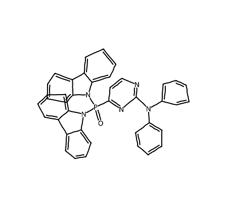 O=P(c1ccnc(N(c2ccccc2)c2ccccc2)n1)(n1c2ccccc2c2ccccc21)n1c2ccccc2c2ccccc21